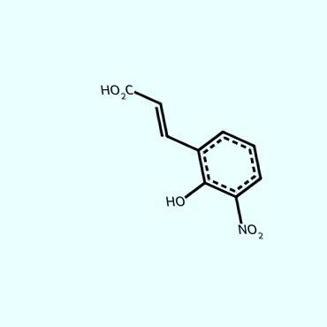 O=C(O)C=Cc1cccc([N+](=O)[O-])c1O